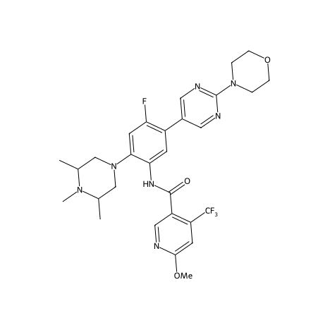 COc1cc(C(F)(F)F)c(C(=O)Nc2cc(-c3cnc(N4CCOCC4)nc3)c(F)cc2N2CC(C)N(C)C(C)C2)cn1